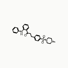 CN1CCN(S(=O)(=O)c2ccc(CCC(=O)c3ccccc3Nc3ccccc3)cc2)CC1